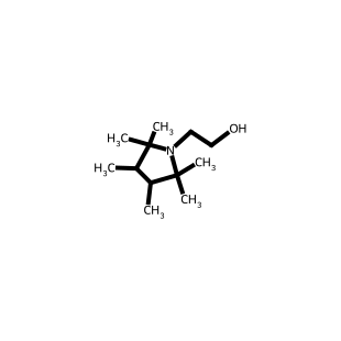 CC1C(C)C(C)(C)N(CCO)C1(C)C